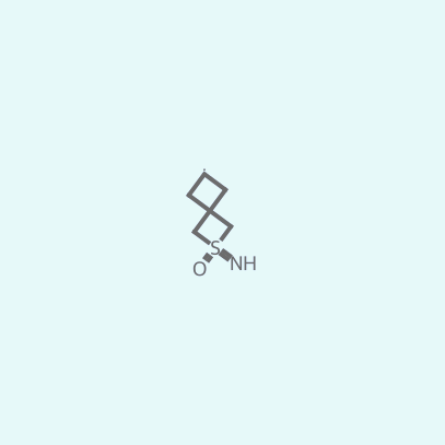 N=S1(=O)CC2(C[CH]C2)C1